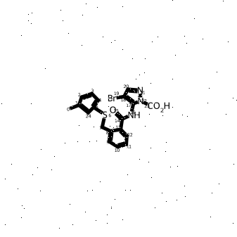 Cc1cccc(SCc2ccccc2C(=O)Nc2c(Br)cnn2C(=O)O)c1